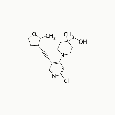 CC1OCCC1C#Cc1cnc(Cl)cc1N1CCC(C)(CO)CC1